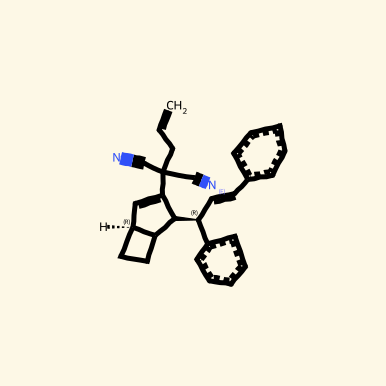 C=CCC(C#N)(C#N)C1=C[C@@H]2CCC2C1[C@@H](/C=C/c1ccccc1)c1ccccc1